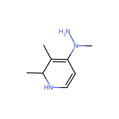 CC1=C(N(C)N)C=CNC1C